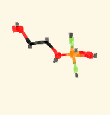 O=P(F)(F)OCCO